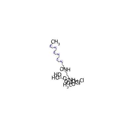 CC/C=C\C/C=C\C/C=C\C/C=C\C/C=C\C/C=C\CCC(=O)NCCCCC(NC(=O)C(C)(C)Oc1ccc(Cl)cc1)C(=O)OCC(CO)CO